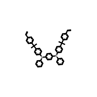 C=Cc1ccc(C(C)(C)c2ccc(N(c3ccccc3)c3ccc(N(c4ccccc4)c4ccc(C(C)(C)c5ccc(C=C)cc5)cc4)cc3)cc2)cc1